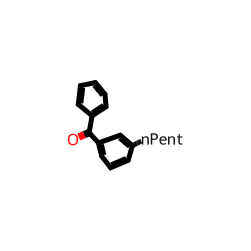 CCCCCc1cccc(C(=O)c2ccccc2)c1